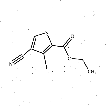 CCOC(=O)c1scc(C#N)c1I